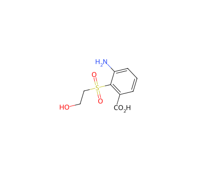 Nc1cccc(C(=O)O)c1S(=O)(=O)CCO